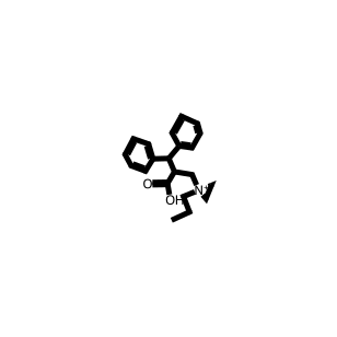 CCC[N+]1(CC(C(=O)O)C(c2ccccc2)c2ccccc2)CC1